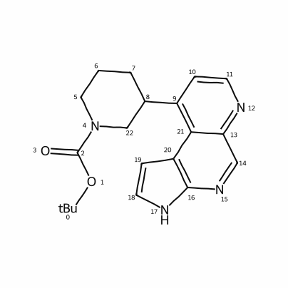 CC(C)(C)OC(=O)N1CCCC(c2ccnc3cnc4[nH]ccc4c23)C1